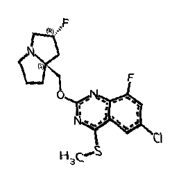 CSc1nc(OC[C@@]23CCCN2C[C@H](F)C3)nc2c(F)cc(Cl)cc12